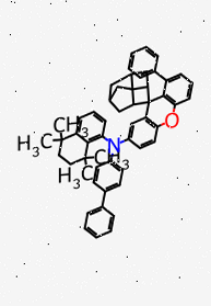 CC1(C)CCC(C)(C)c2c(N(c3ccc(-c4ccccc4)cc3)c3ccc4c(c3)C3(c5c(cccc5-c5ccccc5)O4)C4CC5CC6CC3C64C5)cccc21